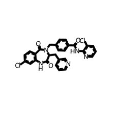 O=C(Nc1ncccc1Cl)c1ccc(CN2C(=O)c3ccc(Cl)cc3NC(=O)C2Cc2cccnc2)cc1